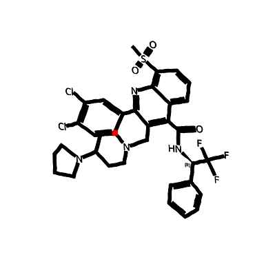 CS(=O)(=O)c1cccc2c(C(=O)N[C@H](c3ccccc3)C(F)(F)F)c(CN3CCC(N4CCCC4)CC3)c(-c3ccc(Cl)c(Cl)c3)nc12